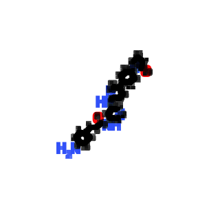 Nc1ccc(CCC(=O)Nc2cncc(Nc3ccc(-c4ccc(N5CCCC5=O)cc4)cn3)c2)cc1